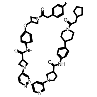 O=C(Nc1ccc(C2CCN(C(=O)CC3CCCC3)CC2)cc1)C1CCN(c2cccnc2)C1.O=C(Nc1ccc(OC2CN(C(=O)Cc3ccc(F)cc3)C2)cc1)C1CN(c2ccnnc2)C1